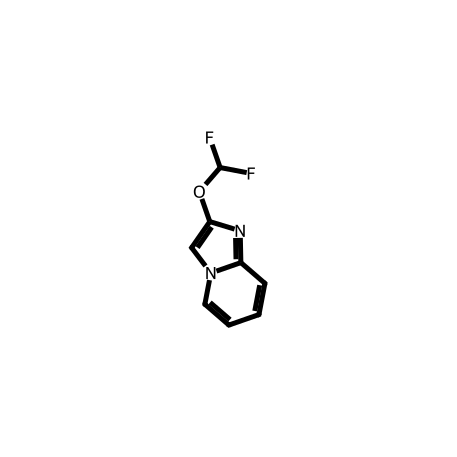 FC(F)Oc1cn2ccccc2n1